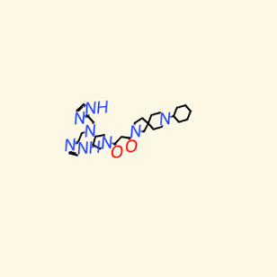 O=C(CC(=O)N1CCC2(CCN(C3CCCCC3)CC2)C1)N1CCC(N(Cc2ncc[nH]2)Cc2ncc[nH]2)C1